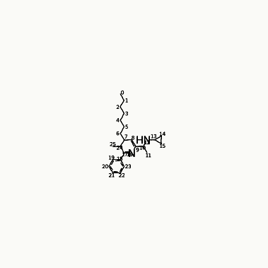 CCCCCCCC1C=C(C(C)NC2CC2)N=C(c2ccccc2)C1C